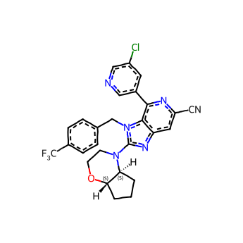 N#Cc1cc2nc(N3CCO[C@H]4CCC[C@@H]43)n(Cc3ccc(C(F)(F)F)cc3)c2c(-c2cncc(Cl)c2)n1